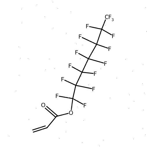 C=CC(=O)OC(F)(F)C(F)(F)C(F)(F)C(F)(F)C(F)(F)C(F)(F)C(F)(F)F